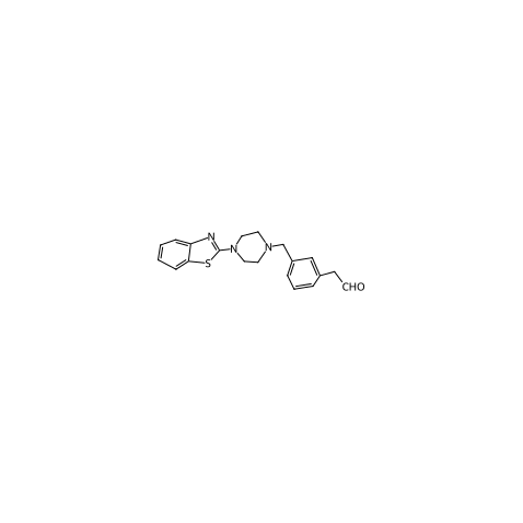 O=CCc1cccc(CN2CCN(c3nc4ccccc4s3)CC2)c1